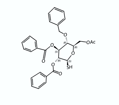 CC(=O)OC[C@H]1O[C@@H](S)[C@H](OC(=O)c2ccccc2)[C@@H](OC(=O)c2ccccc2)[C@@H]1OCc1ccccc1